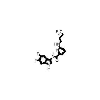 O=C(Nc1c[nH]c2cc(F)c(F)cc12)c1cccc(NCCCC(F)(F)F)n1